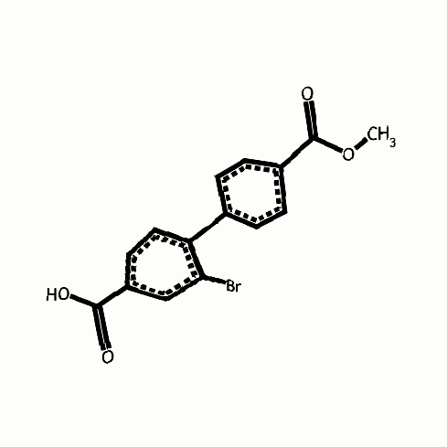 COC(=O)c1ccc(-c2ccc(C(=O)O)cc2Br)cc1